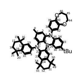 Cc1cc2c3c(c1)N(c1ccc4c(c1)C(C)(C)CCC4(C)C)c1cc4c(cc1B3c1cc(C(C)(C)C)ccc1N2c1ccc2c(c1)OCCCO2)C(C)(C)CCC4(C)C